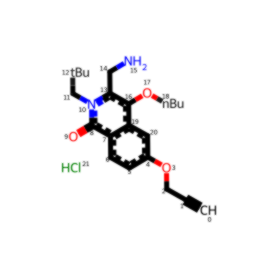 C#CCOc1ccc2c(=O)n(CC(C)(C)C)c(CN)c(OCCCC)c2c1.Cl